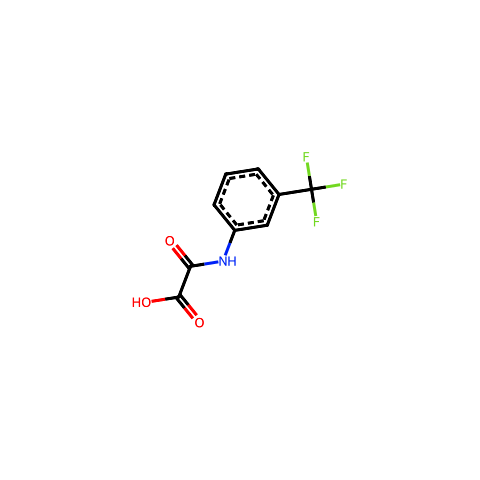 O=C(O)C(=O)Nc1cccc(C(F)(F)F)c1